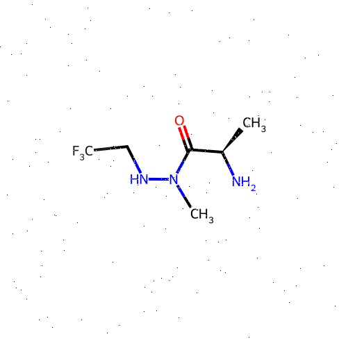 C[C@@H](N)C(=O)N(C)NCC(F)(F)F